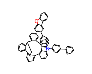 c1ccc(-c2ccc(N(c3ccc(-c4ccc5oc6ccccc6c5c4)cc3)c3cccc4c3-c3ccccc3-c3ccccc3C3Cc5c(cccc5-4)-c4ccccc43)cc2)cc1